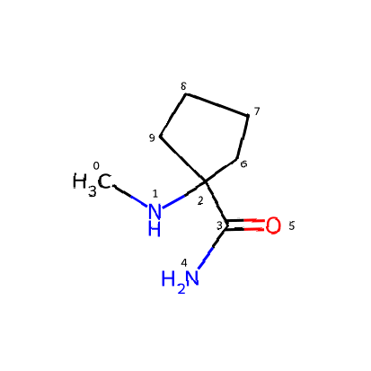 CNC1(C(N)=O)CCCC1